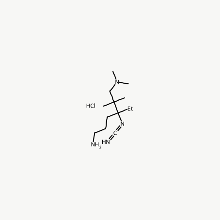 CCC(CCCN)(N=C=N)C(C)(C)CN(C)C.Cl